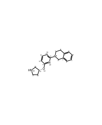 c1ccc2c(c1)CCN(c1nccc(O[C@@H]3CCNC3)n1)C2